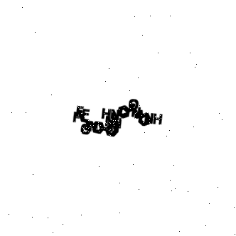 O=C(CCC(F)(F)F)N1CC=C(c2cccn3nc(Nc4ccc(C(=O)N5CC6(CCCNC6)C5)cc4)nc23)CC1